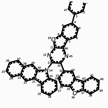 c1ccc(-c2ccc3c(c2)oc2nc(-n4c5ccccc5c5cc6ccccc6cc54)c(-c4ccc5oc6ccccc6c5c4)nc23)cc1